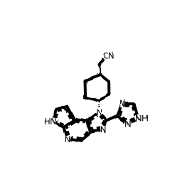 N#CC[C@H]1CC[C@H](n2c(-c3nc[nH]n3)nc3cnc4[nH]ccc4c32)CC1